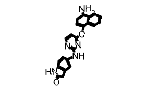 Nc1ccc(Oc2ccnc(Nc3ccc4c(c3)CC(=O)N4)n2)c2ccccc12